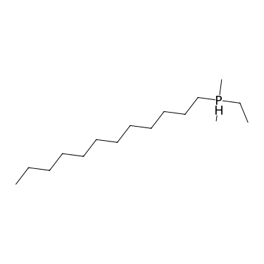 CCCCCCCCCCCC[PH](C)(C)CC